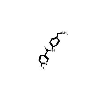 Cc1ccc(C(=O)Nc2ccc(CN)cc2)cn1